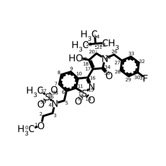 COCCN(Cc1cccc2c1S(=O)(=O)N=C2C1=C(O)[C@H](C(C)(C)C)N(Cc2ccc(F)cc2)C1=O)S(C)(=O)=O